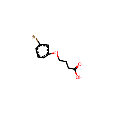 O=C(O)CCCOc1cccc(Br)c1